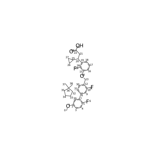 COc1ccc(F)c(-c2cc(F)c(COc3cccc(C(CC(=O)O)C4CC4)c3F)cc2[C@@H]2CCCC2(C)C)c1